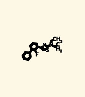 CCN(CC)c1nc(-c2cccc(-c3ccccc3)c2F)cs1